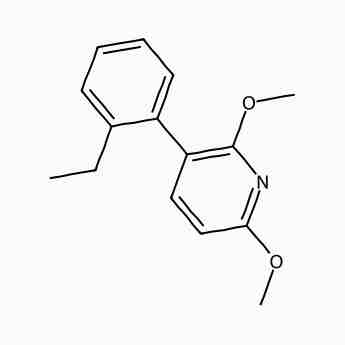 CCc1ccccc1-c1ccc(OC)nc1OC